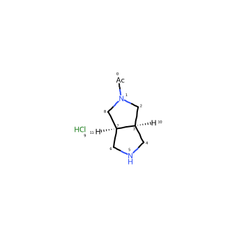 CC(=O)N1C[C@H]2CNC[C@H]2C1.Cl